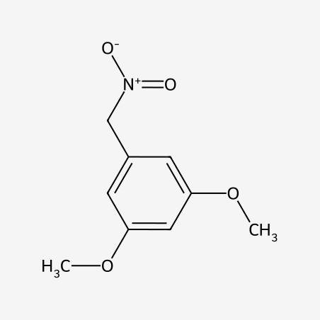 COc1cc(C[N+](=O)[O-])cc(OC)c1